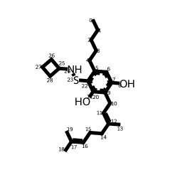 CCCCCc1cc(O)c(C/C=C(\C)CCC=C(C)C)c(O)c1SNC1CCC1